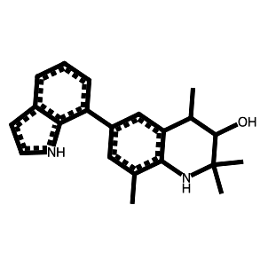 Cc1cc(-c2cccc3cc[nH]c23)cc2c1NC(C)(C)C(O)C2C